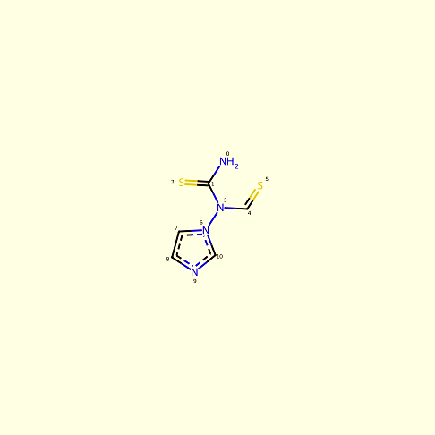 NC(=S)N(C=S)n1ccnc1